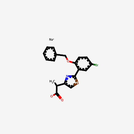 CC(C(=O)[O-])c1csc(-c2cc(Br)ccc2OCc2ccccc2)n1.[Na+]